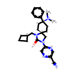 CN(C)[C@]1(c2ccccc2)CC[C@@]2(CC1)CN(c1cnc(C#N)cn1)C(=O)N2CC1CCC1